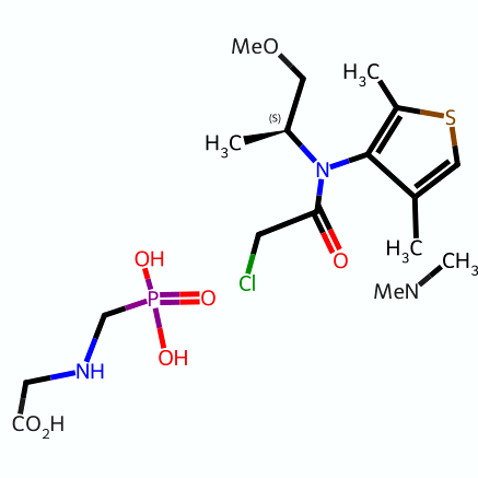 CNC.COC[C@H](C)N(C(=O)CCl)c1c(C)csc1C.O=C(O)CNCP(=O)(O)O